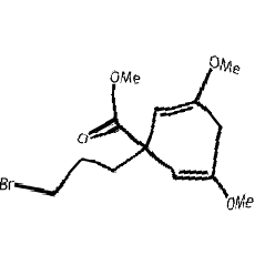 COC(=O)C1(CCCBr)C=C(OC)CC(OC)=C1